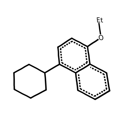 CCOc1ccc(C2CCCCC2)c2ccccc12